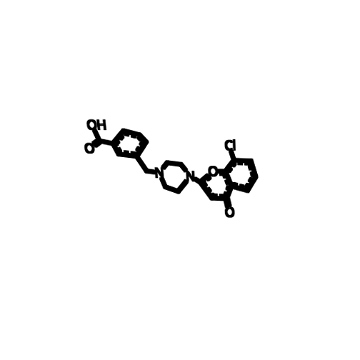 O=C(O)c1cccc(CN2CCN(c3cc(=O)c4cccc(Cl)c4o3)CC2)c1